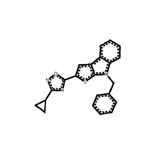 c1ccc(Cn2c3ccccc3c3cc(-c4nc(C5CC5)no4)sc32)cc1